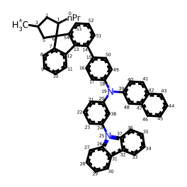 CCCC1CC(C)CC12c1ccccc1-c1c(-c3ccc(N(c4cccc(-n5c6ccccc6c6ccccc65)c4)c4ccc5ccccc5c4)cc3)cccc12